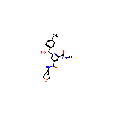 CNC(=O)c1cc(C(=O)NC2C3COCC32)cc(C(O)c2ccc(C)cc2)n1